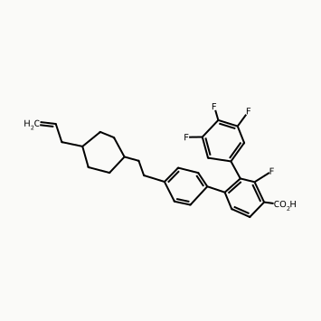 C=CCC1CCC(CCc2ccc(-c3ccc(C(=O)O)c(F)c3-c3cc(F)c(F)c(F)c3)cc2)CC1